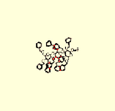 S=CO[C@@H]1O[C@H](COCc2ccccc2)[C@@H](O[C@@H]2O[C@H](COCc3ccccc3)[C@H](O[C@H]3O[C@H](COCc4ccccc4)[C@@H](OCc4ccccc4)[C@H](OCc4ccccc4)[C@H]3OCc3ccccc3)[C@H](OCc3ccccc3)[C@H]2OCc2ccccc2)[C@H](OCc2ccccc2)[C@H]1OCc1ccccc1